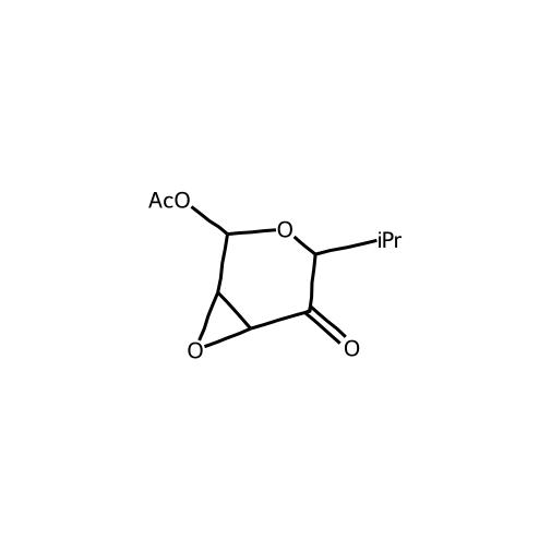 CC(=O)OC1OC(C(C)C)C(=O)C2OC12